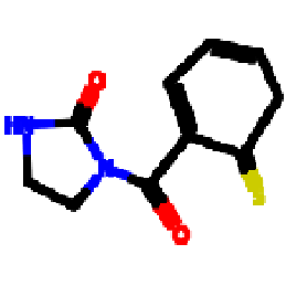 O=C1NCCN1C(=O)C1=CC=CCC1=S